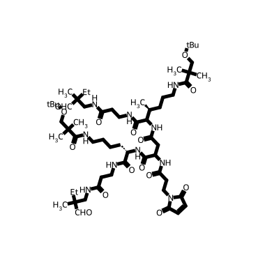 CCC(C)(C=O)CNC(=O)CCNC(=O)C(NC(=O)CC(NC(=O)CCN1C(=O)C=CC1=O)C(=O)N[C@@H](CCCCNC(=O)C(C)(C)COC(C)(C)C)C(=O)NCCC(=O)NCC(C)(C=O)CC)[C@@H](C)CCCNC(=O)C(C)(C)COC(C)(C)C